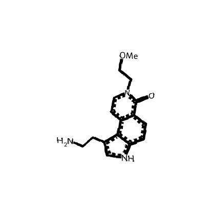 COCCn1ccc2c(ccc3[nH]cc(CCN)c32)c1=O